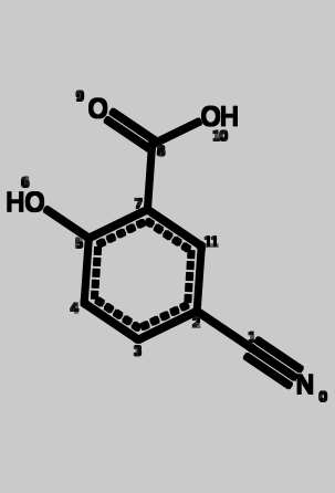 N#Cc1ccc(O)c(C(=O)O)c1